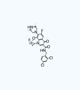 COc1c(N2C[C@@H](C)N[C@@H](C)C2)c(F)cc2c(=O)c(C(=O)NCc3ccc(Cl)cc3Cl)cn(C3C[C@H]3F)c12